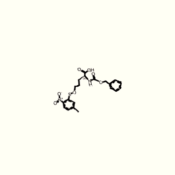 Cc1ccc([N+](=O)[O-])c(SOCCC[C@H](NC(=O)OCc2ccccc2)C(=O)O)c1